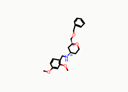 COc1ccc(CN[C@@H]2CCO[C@H](COCc3ccccc3)C2)c(OC)c1